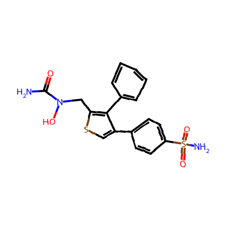 NC(=O)N(O)Cc1scc(-c2ccc(S(N)(=O)=O)cc2)c1-c1ccccc1